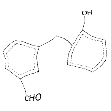 O=Cc1cccc(Cc2ccccc2O)c1